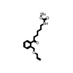 C=CCOCc1ccccc1C(=O)CCCCCNC(=O)OC(C)(C)C